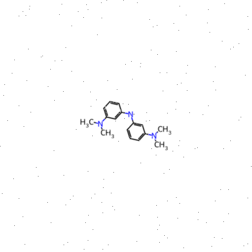 CN(C)c1cccc([N]c2cccc(N(C)C)c2)c1